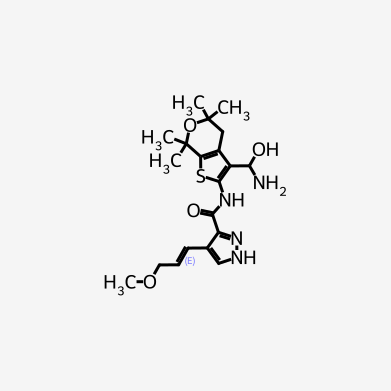 COC/C=C/c1c[nH]nc1C(=O)Nc1sc2c(c1C(N)O)CC(C)(C)OC2(C)C